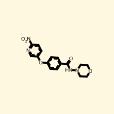 O=C(NN1CCOCC1)c1ccc(Oc2ccc([N+](=O)[O-])nc2)cc1